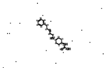 O=C(O)N[C@H]1CC[C@H](NCCOCCc2ccccc2)CC1